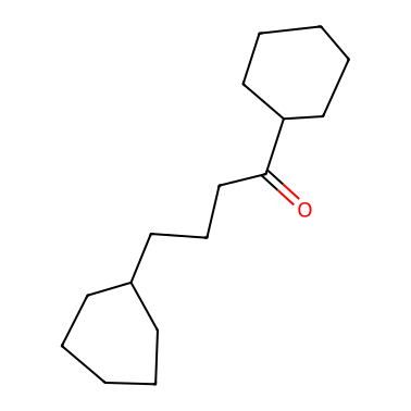 O=C(CCCC1CCCCC1)C1CCCCC1